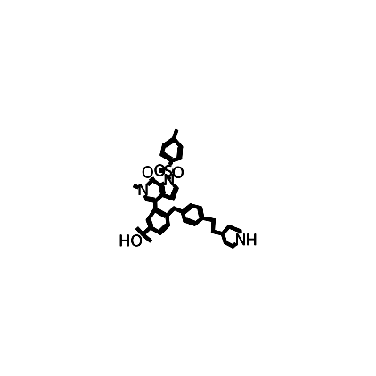 Cc1ccc(S(=O)(=O)n2ccc3c(-c4cc(C(C)(C)O)ccc4Cc4ccc(CCC5CCNCC5)cc4)cn(C)c(=O)c32)cc1